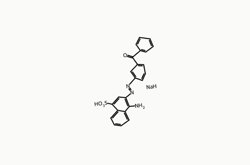 Nc1c(/N=N/c2cccc(C(=O)c3ccccc3)c2)cc(S(=O)(=O)O)c2ccccc12.[NaH]